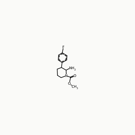 COC(=O)N1CCCC(c2ccc(F)cc2)C1N